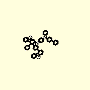 c1ccc(-c2ccc(N(c3ccccc3)c3ccc(-n4c5cc(-c6cccc7oc8ccccc8c67)ccc5c5c(-c6ccccc6)c6c(cc54)oc4ccccc46)cc3)cc2)cc1